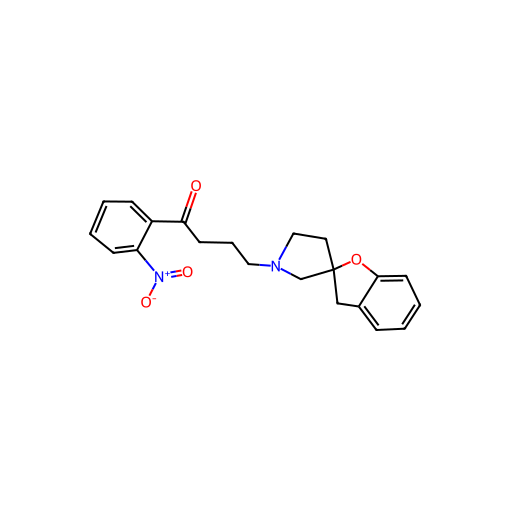 O=C(CCCN1CCC2(Cc3ccccc3O2)C1)c1ccccc1[N+](=O)[O-]